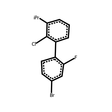 CC(C)c1cccc(-c2ccc(Br)cc2F)c1Cl